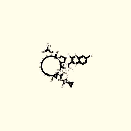 CCc1nc2ccc(F)cc2nc1O[C@@H]1C[C@H]2C(=O)N[C@]3(C(=O)NS(=O)(=O)C4CC4)C[C@H]3/C=C\CCCCC[C@H](NC(=O)O)C(=O)N2C1